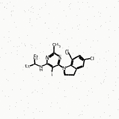 CCC(CC)Nc1nc(C)nc(N2CCc3cc(Cl)cc(Cl)c32)c1I